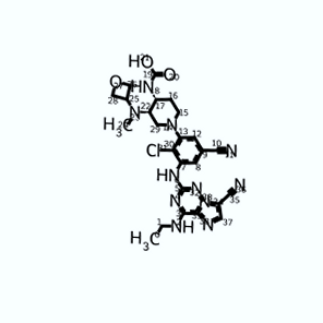 CCNc1nc(Nc2cc(C#N)cc(N3CC[C@@H](NC(=O)O)[C@H](N(C)C4COC4)C3)c2Cl)nn2c(C#N)cnc12